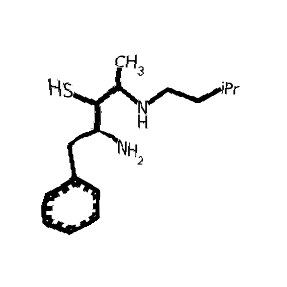 CC(C)CCNC(C)C(S)[C@@H](N)Cc1ccccc1